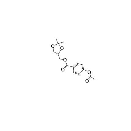 CC(=O)Oc1ccc(C(=O)OCC2COC(C)(C)O2)cc1